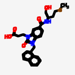 CSCCC(CO)NC(=O)c1ccc2c(c1)n(CCC(=O)O)c(=O)n2Cc1cccc2ccccc12